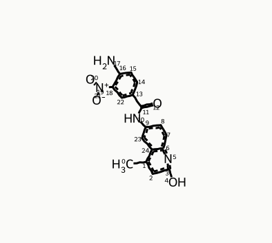 Cc1cc(O)nc2ccc(NC(=O)c3ccc(N)c([N+](=O)[O-])c3)cc12